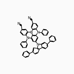 N#Cc1ccc2c(c1)B1c3cc(C#N)ccc3N(c3ccccc3)c3cc(-n4c5cc(-c6ccccc6)ccc5c5ccc(-c6ccccc6)cc54)cc(c31)N2c1ccccc1